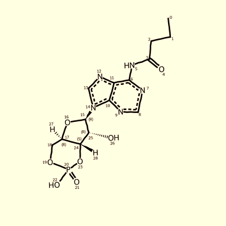 CCCC(=O)Nc1ncnc2c1ncn2[C@@H]1O[C@@H]2COP(=O)(O)O[C@H]2[C@H]1O